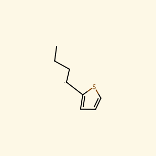 CCC[CH]c1cccs1